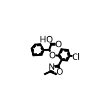 Cc1coc(-c2cc(Cl)ccc2OC(C(=O)O)c2ccccc2)n1